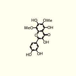 COc1c(O)c(OC)c2oc(-c3ccc(O)c(O)c3)c(O)c(=O)c2c1O